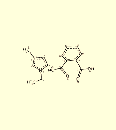 CCn1cc[n+](C)c1.O=C(O)c1ccccc1C(=O)O